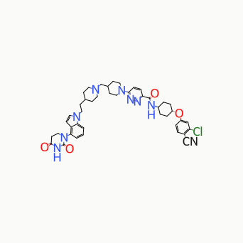 N#Cc1ccc(O[C@H]2CC[C@H](NC(=O)c3ccc(N4CCC(CN5CCC(CCn6ccc7c(N8CCC(=O)NC8=O)cccc76)CC5)CC4)nn3)CC2)cc1Cl